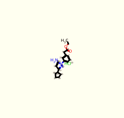 CCOC(=O)Cc1cccc(-n2nc(C3CCCC3)cc2N)c1.Cl